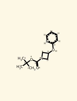 CC(C)(C)OC(=O)N1CC(Oc2ccccn2)C1